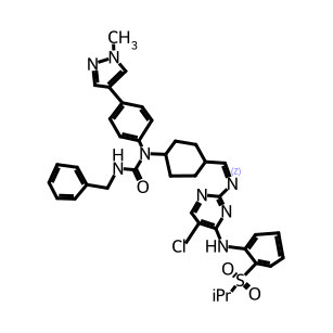 CC(C)S(=O)(=O)c1ccccc1Nc1nc(/N=C\C2CCC(N(C(=O)NCc3ccccc3)c3ccc(-c4cnn(C)c4)cc3)CC2)ncc1Cl